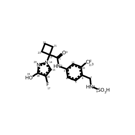 O=C(Nc1ccc(CNS(=O)(=O)O)c(C(F)(F)F)c1)C1(n2cc(F)c(O)n2)CCC1